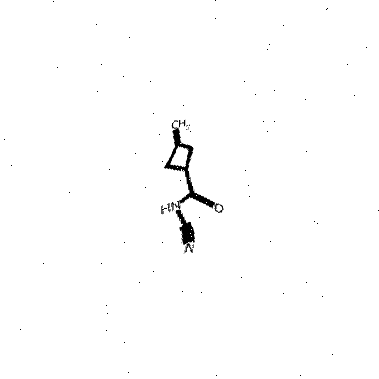 C=C1CC(C(=O)NC#N)C1